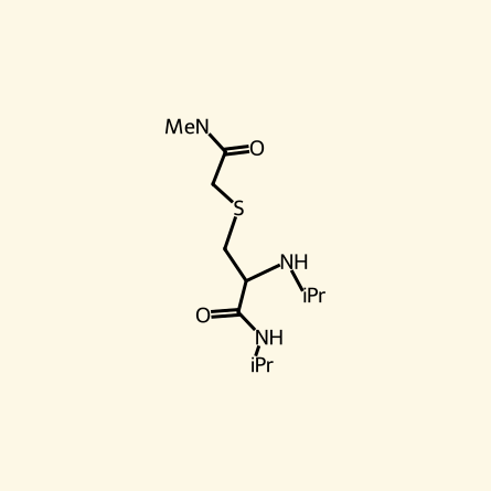 CNC(=O)CSCC(NC(C)C)C(=O)NC(C)C